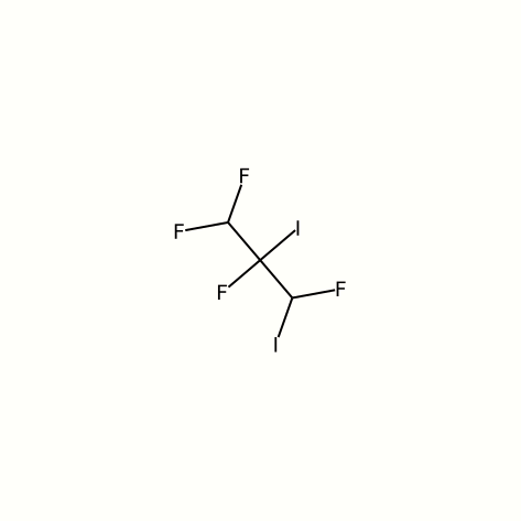 FC(F)C(F)(I)C(F)I